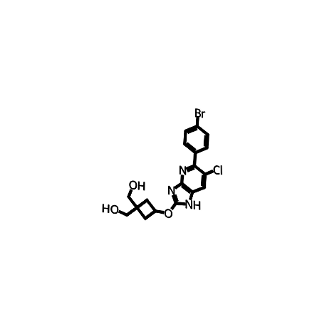 OCC1(CO)CC(Oc2nc3nc(-c4ccc(Br)cc4)c(Cl)cc3[nH]2)C1